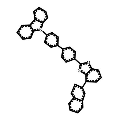 c1ccc2cc(-c3cccc4oc(-c5ccc(-c6ccc(-n7c8ccccc8c8ccccc87)cc6)cc5)nc34)ccc2c1